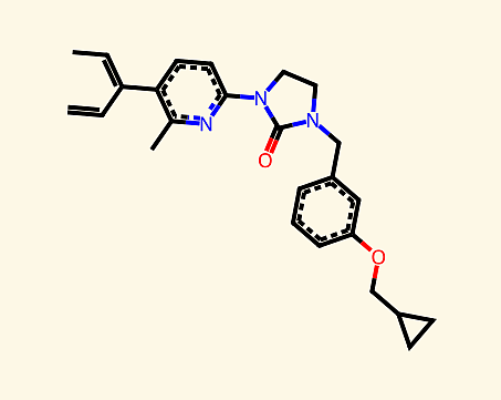 C=C/C(=C\C)c1ccc(N2CCN(Cc3cccc(OCC4CC4)c3)C2=O)nc1C